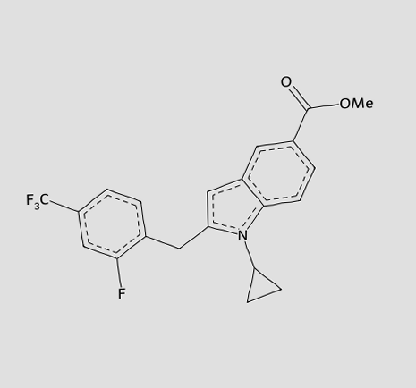 COC(=O)c1ccc2c(c1)cc(Cc1ccc(C(F)(F)F)cc1F)n2C1CC1